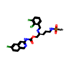 CCCS(=O)(=O)NCCC[C@@H](COC(=O)Nc1cc2cc(F)ccc2cn1)[N]Cc1cccc(F)c1Cl